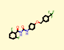 O=C(NC(=O)c1c(F)cccc1F)Nc1ccc(OCc2ccc(C(F)(F)F)cc2)cc1